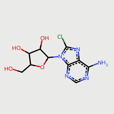 Nc1ncnc2c1nc(Cl)n2C1OC(CO)C(O)C1O